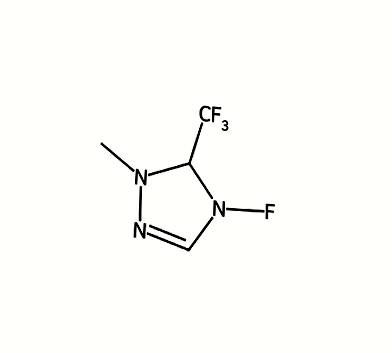 CN1N=CN(F)C1C(F)(F)F